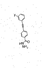 NNC(=O)c1ccc(C#Cc2cccc(F)c2)cc1